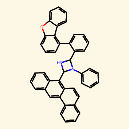 c1ccc(N2C(c3ccccc3-c3cccc4oc5ccccc5c34)NC2c2c3ccccc3cc3c2ccc2ccccc23)cc1